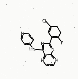 FC1=C(c2nc(Nc3ccncc3)c3nccnc3n2)C=C(Cl)CC1